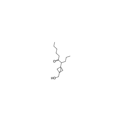 CCCCCC(=O)C(CCC)C12CC(CO)(C1)C2